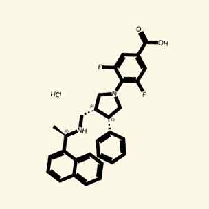 C[C@@H](NC[C@@H]1CN(c2c(F)cc(C(=O)O)cc2F)C[C@@H]1c1ccccc1)c1cccc2ccccc12.Cl